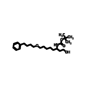 CC(C)(C)OC(=O)NC(CCO)CCCCCOCCCCc1ccccc1